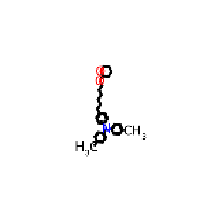 Cc1ccc(N(c2ccc(C)cc2)c2ccc(CCCCCCOC3CCCCO3)cc2)cc1